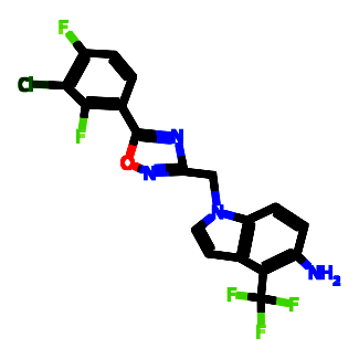 Nc1ccc2c(ccn2Cc2noc(-c3ccc(F)c(Cl)c3F)n2)c1C(F)(F)F